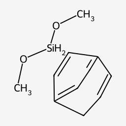 C1=Cc2ccc(cc2)C1.CO[SiH2]OC